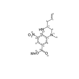 C=CCC1CN(C)c2cc(C(=O)OC)cc([N+](=O)[O-])c2N1